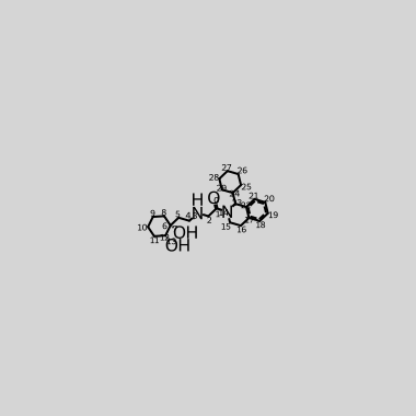 O=C(CNCC[C@]1(O)CCCC[C@H]1O)N1CCc2ccccc2C1C1CCCCC1